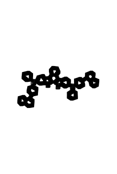 c1ccc(N(c2ccc(-c3cccc4ccccc34)cc2)c2ccc3c(c2)sc2c4sc5cc(N(c6ccccc6)c6ccc(-c7cccc8ccccc78)cc6)ccc5c4c4ccccc4c32)cc1